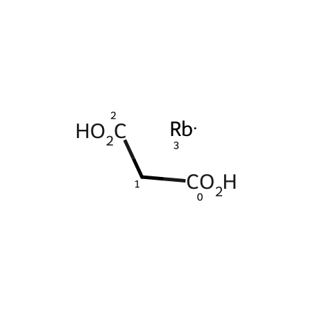 O=C(O)CC(=O)O.[Rb]